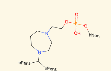 CCCCCCCCCOP(=O)(O)OCCN1CCCN(C(CCCCC)CCCCC)CC1